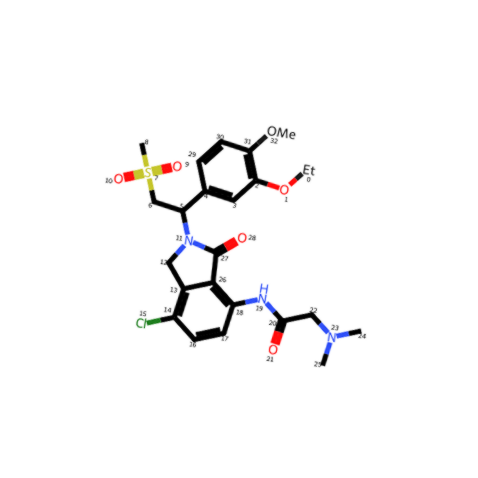 CCOc1cc(C(CS(C)(=O)=O)N2Cc3c(Cl)ccc(NC(=O)CN(C)C)c3C2=O)ccc1OC